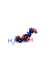 CCOc1cc(-n2ccc(N3CCO[C@H]([C@@](C)(O)C(=O)Nc4ccc5c(N)noc5c4)C3=O)n2)cnn1